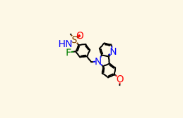 COc1ccc2c(c1)c1ncccc1n2Cc1ccc(S(C)(=N)=O)c(F)c1